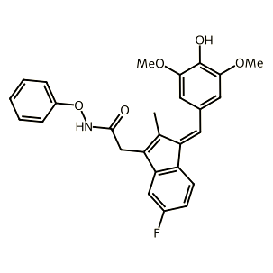 COc1cc(C=C2C(C)=C(CC(=O)NOc3ccccc3)c3cc(F)ccc32)cc(OC)c1O